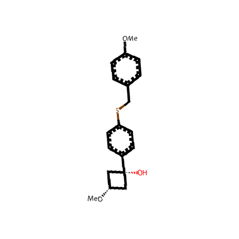 COc1ccc(CSc2ccc([C@]3(O)C[C@@H](OC)C3)cc2)cc1